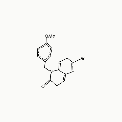 COc1ccc(CN2C(=O)CC=C3C=C(Br)CC=C32)cc1